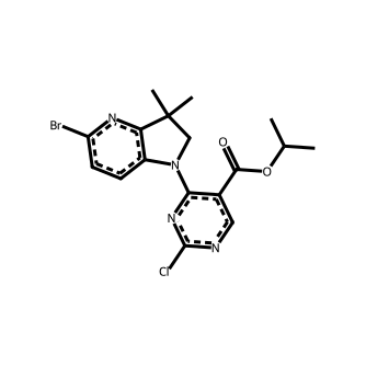 CC(C)OC(=O)c1cnc(Cl)nc1N1CC(C)(C)c2nc(Br)ccc21